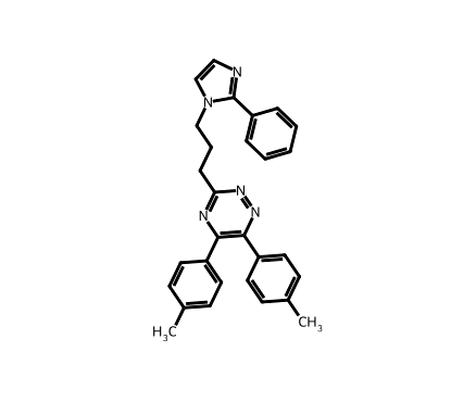 Cc1ccc(-c2nnc(CCCn3ccnc3-c3ccccc3)nc2-c2ccc(C)cc2)cc1